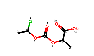 CC(Cl)OC(=O)OC(C)C(=O)O